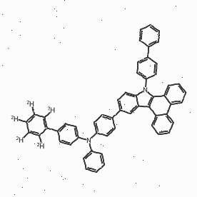 [2H]c1c([2H])c([2H])c(-c2ccc(N(c3ccccc3)c3ccc(-c4ccc5c(c4)c4c6ccccc6c6ccccc6c4n5-c4ccc(-c5ccccc5)cc4)cc3)cc2)c([2H])c1[2H]